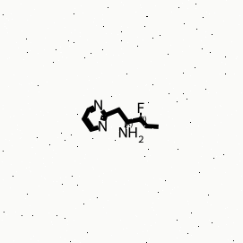 CC[C@@H](F)[C@H](N)Cc1ncccn1